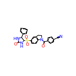 N#Cc1ccc(C(=O)N2CCc3cc(S(=O)(=O)C4NC(=O)NC4c4ccccc4)ccc32)cc1